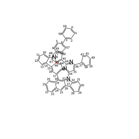 c1ccc(-c2ccc(-n3c4ccccc4c4cc(-c5c6ccccc6cc6c7ccccc7n(-c7cc(-c8ccccc8)nc(-c8ccccc8)n7)c56)ccc43)cc2)cc1